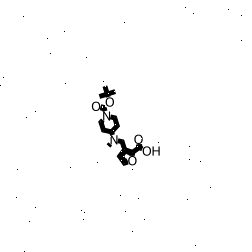 CN(Cc1ccoc1C(=O)O)C1CCN(C(=O)OC(C)(C)C)CC1